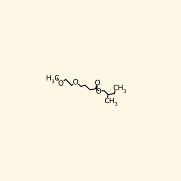 CCC(C)COC(=O)CCCOCCOC